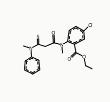 CCOC(=O)c1cc(Cl)ccc1N(C)C(=O)CC(=S)N(C)c1ccccc1